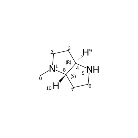 CN1CC[C@H]2NCC[C@@H]21